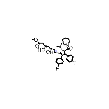 COC(=O)C[C@H](O)C[C@@H](O)/C=C/c1c(-c2ccc(F)cc2)c(-c2ccc(F)cc2)c(C(=O)N2CCCCC2)n1C(C)C